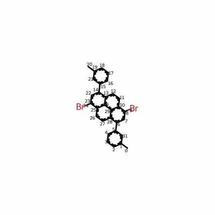 Cc1cccc(-c2cc(Br)c3ccc4c(-c5cccc(C)c5)cc(Br)c5ccc2c3c54)c1